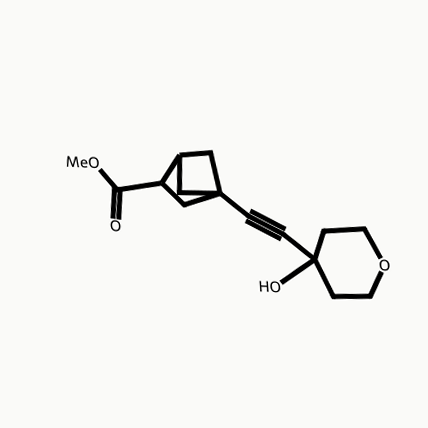 COC(=O)C1CC2(C#CC3(O)CCOCC3)CC1C2